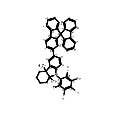 CC12CCCCC1(C)N(c1c(F)c(F)c(F)c(F)c1F)c1ccc(-c3ccc4c(c3)C3(c5ccccc5-c5ccccc53)c3ccccc3-4)cc12